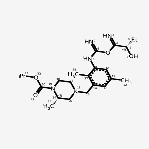 CC[C@H](O)C(=N)OC(=N)Nc1cc(C)cc(CN2CCN(C(=O)OC(C)C)[C@@H](C)C2)c1C